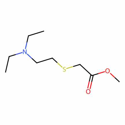 CCN(CC)CCSCC(=O)OC